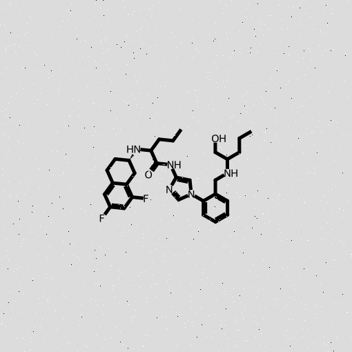 CCCC(CO)NCc1ccccc1-n1cnc(NC(=O)C(CCC)N[C@H]2CCc3cc(F)cc(F)c3C2)c1